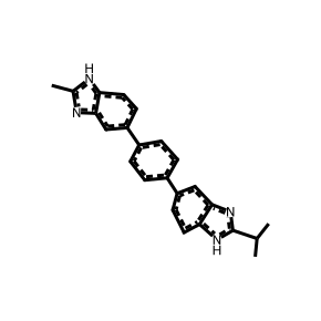 Cc1nc2cc(-c3ccc(-c4ccc5[nH]c(C(C)C)nc5c4)cc3)ccc2[nH]1